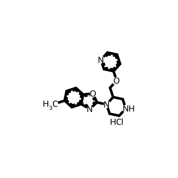 Cc1ccc2oc(N3CCNCC3COc3cccnc3)nc2c1.Cl